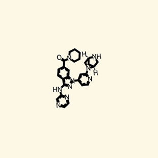 O=C(c1ccc2c(Nc3cnccn3)nn(-c3ccnc(N4C[C@@H]5C[C@H]4CN5)c3)c2c1)N1CCCCC1